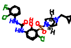 O=C(Nc1ccc(Cl)c(S(=O)(=O)N2C[C@@H]3C[C@H]2CN3CC2CC2)c1O)Nc1cccc(F)c1Cl